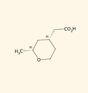 C[C@@H]1C[C@H](CC(=O)O)CCO1